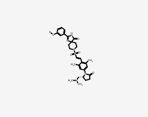 Cc1cc(N2C(=O)CC[C@@H]2CN(C)C)cc(C)c1/C=C/S(=O)(=O)N1CCC2(CC1)N=C(c1cccc(OF)c1)NC2=O